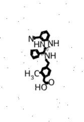 Cc1cc(CCN[C@H](c2ccccc2)[C@H]2CNc3cccc(C#N)c3N2)ccc1CC(=O)O